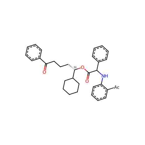 CC(=O)c1ccccc1NC(C(=O)O[C@@H](CCCC(=O)c1ccccc1)C1CCCCC1)c1ccccc1